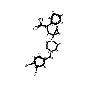 CCC(=O)N(CC1(N2CCN(Cc3ccc(F)c(F)c3)CC2)CC1)c1ccccc1